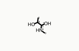 CNC(O)C(C)O